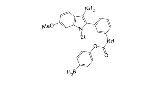 Bc1ccc(OC(=O)Nc2cccc(-c3c(N)c4ccc(OC)cc4n3CC)c2)cc1